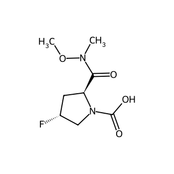 CON(C)C(=O)[C@@H]1C[C@@H](F)CN1C(=O)O